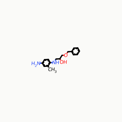 Cc1cc(N)ccc1NCC(O)COCc1ccccc1